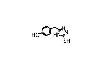 Oc1ccc(Cc2nnc(S)[nH]2)cc1